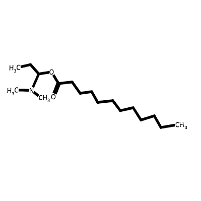 CCCCCCCCCCCC(=O)OC(CC)N(C)C